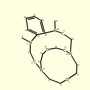 CN1CCN2CCOCCN(CCOCC2)CCN(C)c2ccccc21